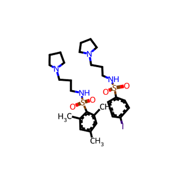 Cc1cc(C)c(S(=O)(=O)NCCCN2CCCC2)c(C)c1.O=S(=O)(NCCCN1CCCC1)c1ccc(I)cc1